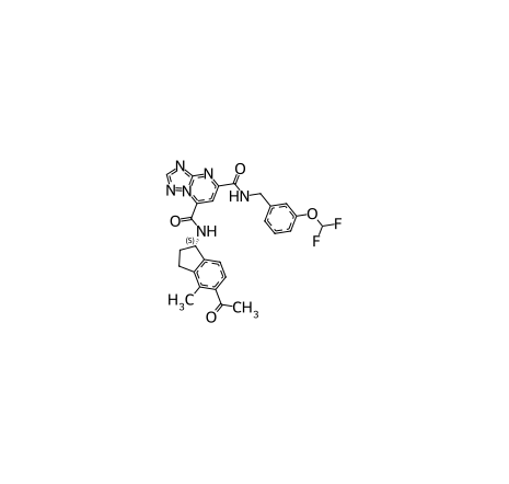 CC(=O)c1ccc2c(c1C)CC[C@@H]2NC(=O)c1cc(C(=O)NCc2cccc(OC(F)F)c2)nc2ncnn12